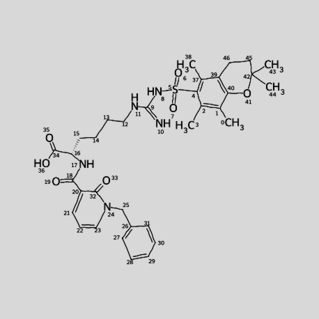 Cc1c(C)c(S(=O)(=O)NC(=N)NCCCC[C@H](NC(=O)c2cccn(Cc3ccccc3)c2=O)C(=O)O)c(C)c2c1OC(C)(C)CC2